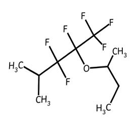 CCC(C)OC(F)(C(F)(F)F)C(F)(F)C(C)C